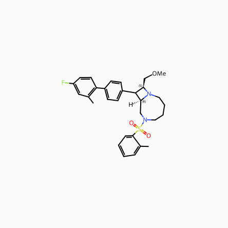 COC[C@@H]1C(c2ccc(-c3ccc(F)cc3C)cc2)[C@@H]2CN(S(=O)(=O)c3ccccc3C)CCCCN12